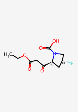 CCOC(=O)CC(=O)[C@@H]1C[C@@H](F)CN1C(=O)O